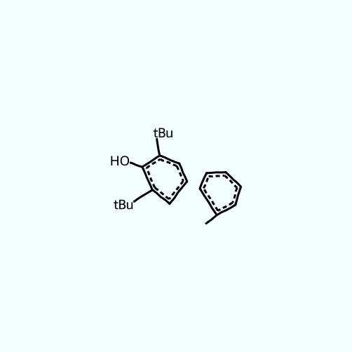 CC(C)(C)c1cccc(C(C)(C)C)c1O.Cc1ccccc1